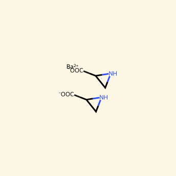 O=C([O-])C1CN1.O=C([O-])C1CN1.[Ba+2]